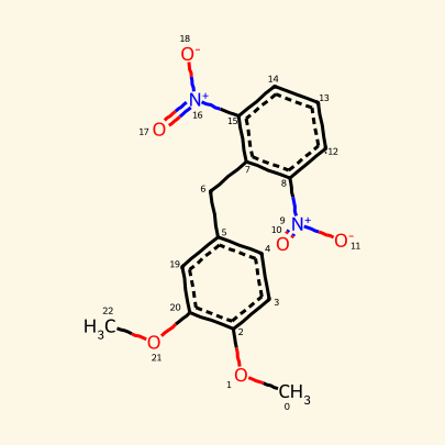 COc1ccc(Cc2c([N+](=O)[O-])[c]ccc2[N+](=O)[O-])cc1OC